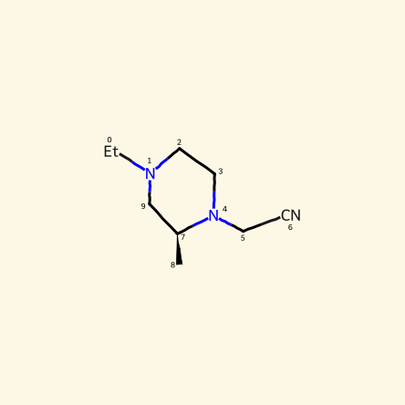 CCN1CCN(CC#N)[C@@H](C)C1